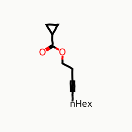 CCCCCCC#CCCOC(=O)C1CC1